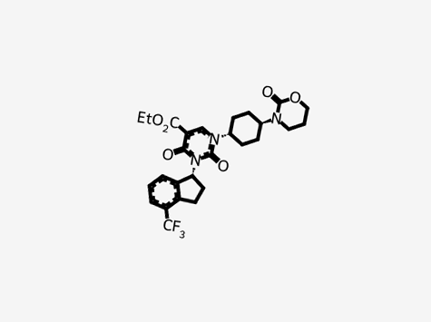 CCOC(=O)c1cn([C@H]2CC[C@H](N3CCCOC3=O)CC2)c(=O)n([C@@H]2CCc3c2cccc3C(F)(F)F)c1=O